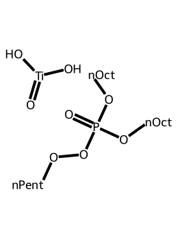 CCCCCCCCOP(=O)(OCCCCCCCC)OOCCCCC.[O]=[Ti]([OH])[OH]